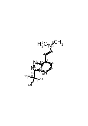 CN(C)C=Cc1ccnn2c(C(F)(F)F)nnc12